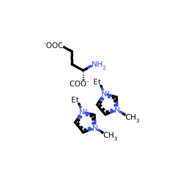 CC[n+]1ccn(C)c1.CC[n+]1ccn(C)c1.N[C@@H](CCC(=O)[O-])C(=O)[O-]